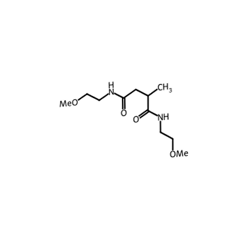 COCCNC(=O)CC(C)C(=O)NCCOC